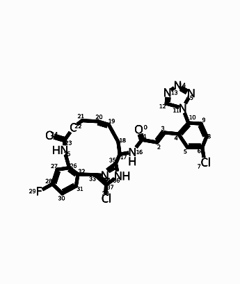 O=C(C=Cc1cc(Cl)ccc1-n1cnnn1)NC1CC=CCCC(=O)Nc2cc(F)ccc2-c2nc1[nH]c2Cl